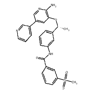 C[C@@H](Oc1cc(-c2cccnc2)cnc1N)c1cccc(NC(=O)c2cccc(S(C)(=O)=O)c2)c1